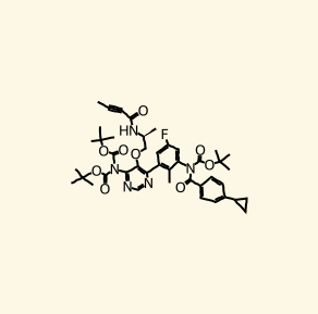 CC#CC(=O)N[C@@H](C)COc1c(-c2cc(F)cc(N(C(=O)OC(C)(C)C)C(=O)c3ccc(C4CC4)cc3)c2C)ncnc1N(C(=O)OC(C)(C)C)C(=O)OC(C)(C)C